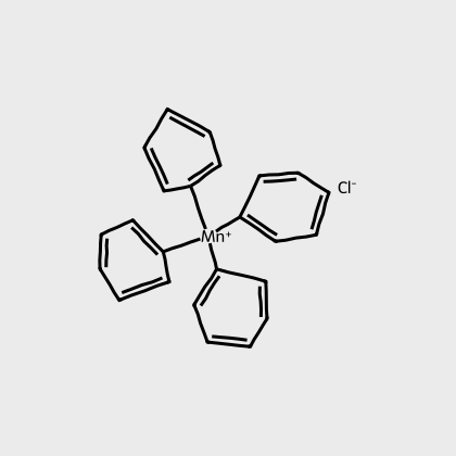 [Cl-].c1cc[c]([Mn+]([c]2ccccc2)([c]2ccccc2)[c]2ccccc2)cc1